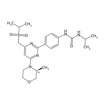 CC(C)NC(=O)Nc1ccc(-c2nc(CS(=O)(=O)C(C)C)cc(N3CCOC[C@@H]3C)n2)cc1